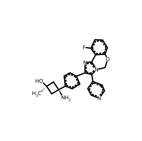 C[C@]1(O)C[C@](N)(c2ccc(-c3nc4n(c3-c3ccncc3)COc3cccc(F)c3-4)cc2)C1